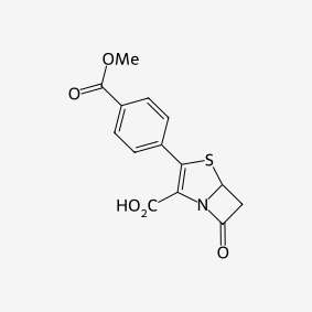 COC(=O)c1ccc(C2=C(C(=O)O)N3C(=O)CC3S2)cc1